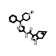 CC12Cc3[nH]nc(C(=O)Nc4cnn(C(c5ccccc5)C5CC[S+]([O-])CC5)c4)c3CC1C2